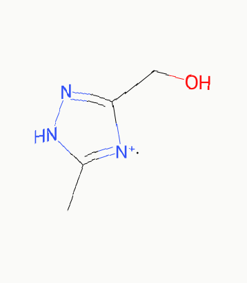 CC1=[N+]C(CO)=NN1